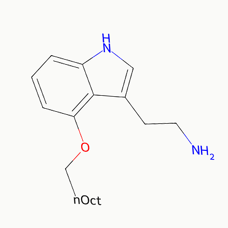 CCCCCCCCCOc1cccc2[nH]cc(CCN)c12